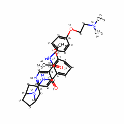 COc1cccc(C(=O)NC2CC3CCC(C2)N3c2ccc(C(=O)Nc3ccc(OCCN(C)C)cc3)cn2)c1C